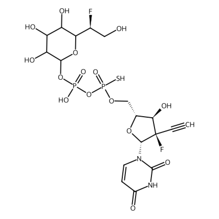 C#C[C@@]1(F)[C@H](O)[C@@H](COP(=O)(S)OP(=O)(O)OC2OC([C@@H](F)CO)C(O)C(O)C2O)O[C@H]1n1ccc(=O)[nH]c1=O